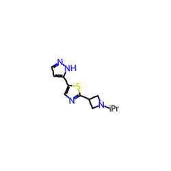 CC(C)N1CC(c2ncc(-c3ccn[nH]3)s2)C1